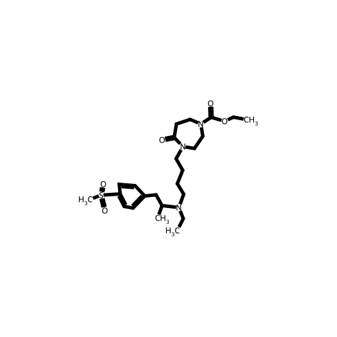 CCOC(=O)N1CCC(=O)N(CCCCN(CC)C(C)Cc2ccc(S(C)(=O)=O)cc2)CC1